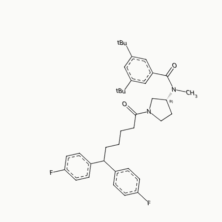 CN(C(=O)c1cc(C(C)(C)C)cc(C(C)(C)C)c1)[C@@H]1CCN(C(=O)CCCCC(c2ccc(F)cc2)c2ccc(F)cc2)C1